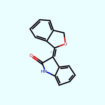 O=C1Nc2ccccc2/C1=C1\OCc2ccccc21